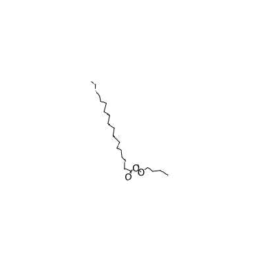 CCCCCCCCCCCCCCCCCC(=O)OOCCCC